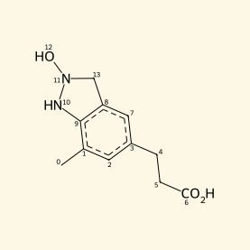 Cc1cc(CCC(=O)O)cc2c1NN(O)C2